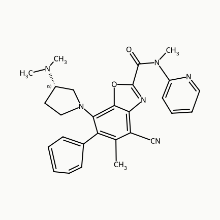 Cc1c(-c2ccccc2)c(N2CC[C@H](N(C)C)C2)c2oc(C(=O)N(C)c3ccccn3)nc2c1C#N